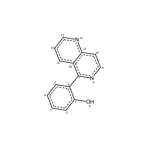 Oc1ccccc1-c1nccc2ncccc12